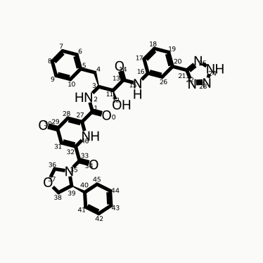 O=C(N[C@@H](Cc1ccccc1)[C@H](O)C(=O)Nc1cccc(-c2nn[nH]n2)c1)c1cc(=O)cc(C(=O)N2COC[C@@H]2C2C=CC=CC2)[nH]1